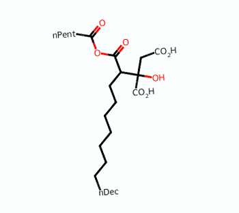 CCCCCCCCCCCCCCCCCC(C(=O)OC(=O)CCCCC)C(O)(CC(=O)O)C(=O)O